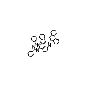 c1ccc(-c2nc(-c3ccccc3)nc(-c3cccc4nc(-c5cc6ccccc6c6ccccc56)c5c6ccccc6sc5c34)n2)cc1